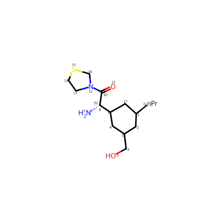 CCCC1CC(CO)CC([C@H](N)C(=O)N2CCSC2)C1